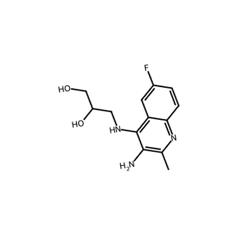 Cc1nc2ccc(F)cc2c(NCC(O)CO)c1N